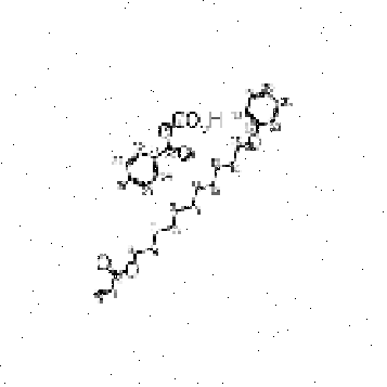 C=CC(=O)OCCCCCCCCCCCOc1ccccc1.O=C(O)OC(=O)c1ccccc1